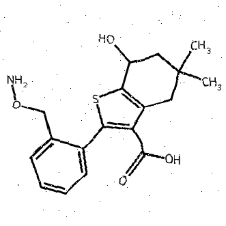 CC1(C)Cc2c(sc(-c3ccccc3CON)c2C(=O)O)C(O)C1